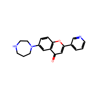 O=c1cc(-c2cccnc2)oc2ccc(N3CCCNCC3)cc12